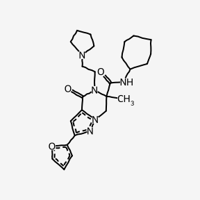 CC1(C(=O)NC2CCCCCC2)Cn2nc(-c3ccco3)cc2C(=O)N1CCN1CCCC1